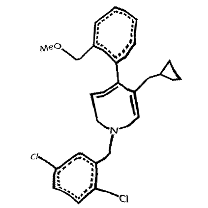 COCc1ccccc1C1=CCN(Cc2cc(Cl)ccc2Cl)C=C1C1CC1